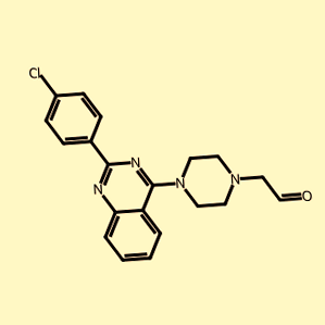 O=CCN1CCN(c2nc(-c3ccc(Cl)cc3)nc3ccccc23)CC1